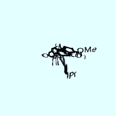 COC(=O)C1CC[C@H]2[C@@H]3CCC4CC(=O)CC[C@]4(C)[C@@H]3C(NCCC(C)C)C[C@]12C